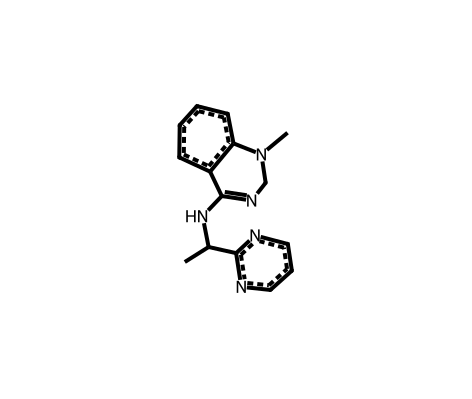 CC(NC1=NCN(C)c2ccccc21)c1ncccn1